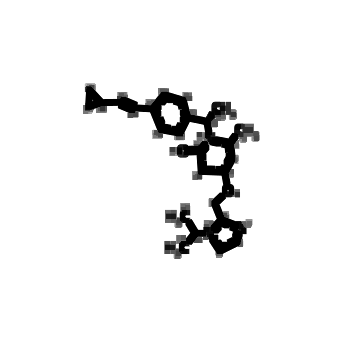 Cc1cc(OCc2nccn2C(C)C)cc(=O)n1[C@H](C)c1ccc(C#CC2CC2)cc1